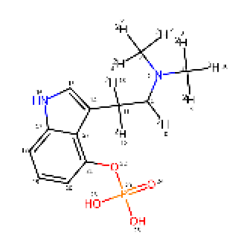 [2H]C(N(C([2H])([2H])[2H])C([2H])([2H])[2H])C([2H])([2H])c1c[nH]c2cccc(OP(=O)(O)O)c12